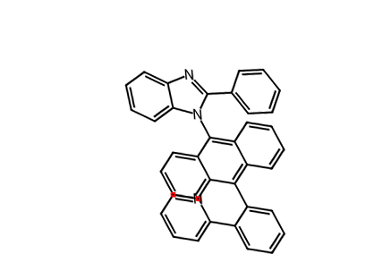 c1ccc(-c2nc3ccccc3n2-c2c3ccccc3c(-c3ccccc3-c3ccccn3)c3ccccc23)cc1